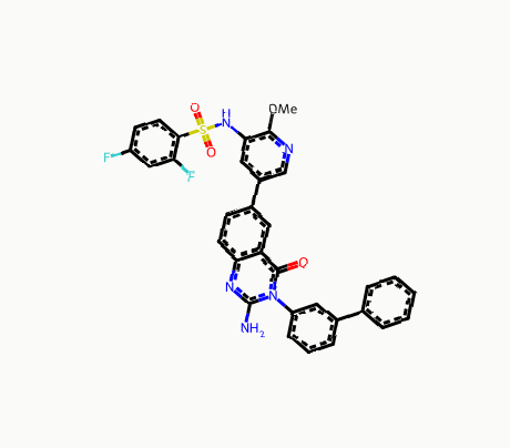 COc1ncc(-c2ccc3nc(N)n(-c4cccc(-c5ccccc5)c4)c(=O)c3c2)cc1NS(=O)(=O)c1ccc(F)cc1F